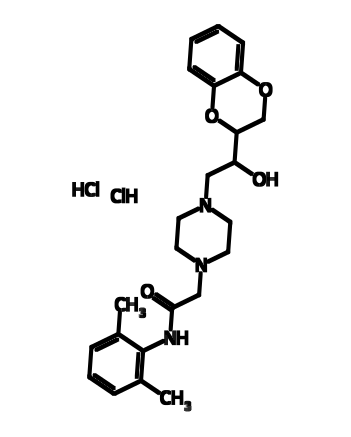 Cc1cccc(C)c1NC(=O)CN1CCN(CC(O)C2COc3ccccc3O2)CC1.Cl.Cl